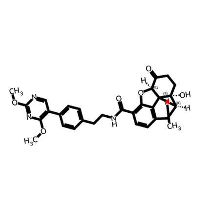 COc1ncc(-c2ccc(CCNC(=O)c3ccc4c5c3O[C@H]3C(=O)CC[C@@]6(O)[C@@H](C4)N(C)CC536)cc2)c(OC)n1